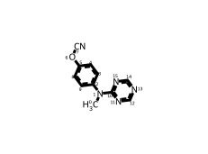 CN(c1ccc(OC#N)cc1)c1ncncn1